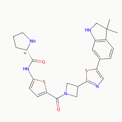 CC1(C)CNc2cc(-c3cnc(C4CN(C(=O)c5ccc(NC(=O)[C@@H]6CCCN6)s5)C4)s3)ccc21